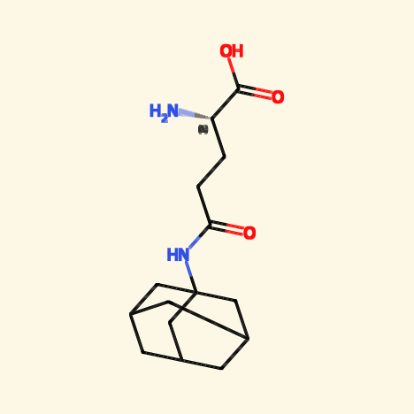 N[C@@H](CCC(=O)NC12CC3CC(CC(C3)C1)C2)C(=O)O